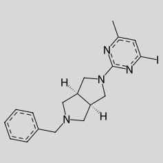 Cc1cc(I)nc(N2C[C@H]3CN(Cc4ccccc4)C[C@H]3C2)n1